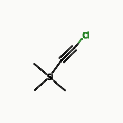 C[Si](C)(C)C#CCl